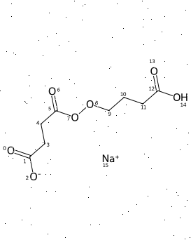 O=C([O-])CCC(=O)OOCCCC(=O)O.[Na+]